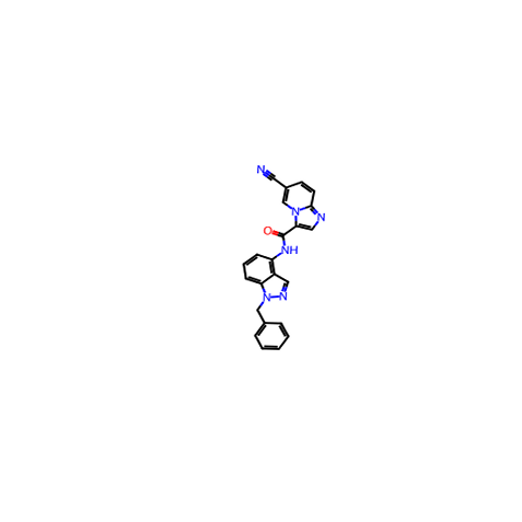 N#Cc1ccc2ncc(C(=O)Nc3cccc4c3cnn4Cc3ccccc3)n2c1